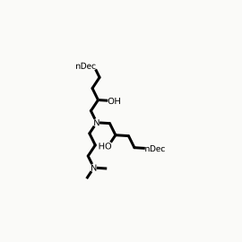 CCCCCCCCCCCCC(O)CN(CCCN(C)C)CC(O)CCCCCCCCCCCC